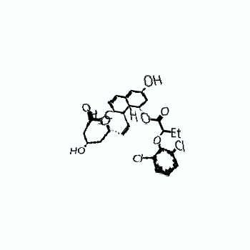 CCC(Oc1c(Cl)cccc1Cl)C(=O)O[C@H]1C[C@H](O)C=C2C=C[C@H](C)[C@H](CC[C@@H]3C[C@@H](O)CC(=O)O3)[C@H]21